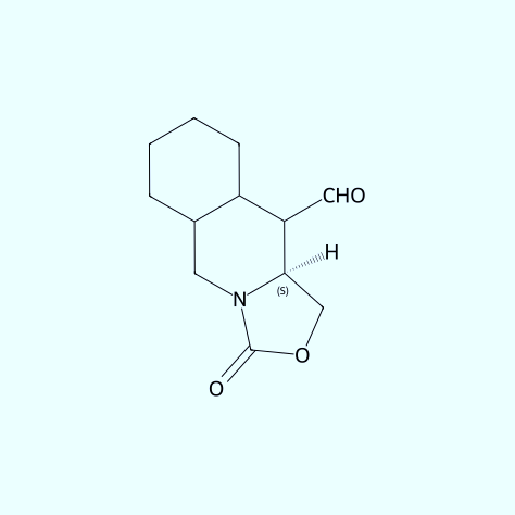 O=CC1C2CCCCC2CN2C(=O)OC[C@H]12